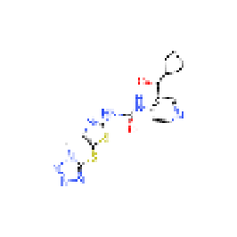 Cn1nnnc1Sc1cnc(NC(=O)Nc2ccncc2C(=O)C2CCCC2)s1